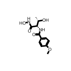 COc1ccc(C(=O)N[C@H](C(=O)NO)[C@H](C)O)cc1